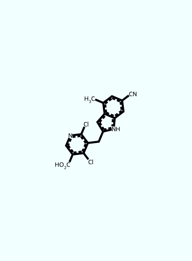 Cc1cc(C#N)cc2[nH]c(Cc3c(Cl)ncc(C(=O)O)c3Cl)cc12